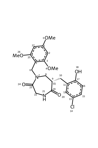 COc1cc(OC)c(CN2C[C@H](Cc3cc(Cl)ccc3O)C(=O)NCC2=O)c(OC)c1